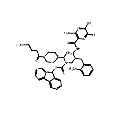 Cc1ccccc1CC(CNC(=O)c1nc(Cl)c(N)nc1N)CN(C(=O)OC1c2ccccc2-c2ccccc21)C(C)C1CCN(C(=O)CCCN)CC1